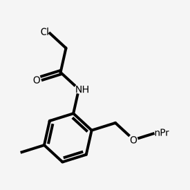 CCCOCc1ccc(C)cc1NC(=O)CCl